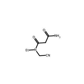 CCN(CC#N)C(=O)CC(N)=O